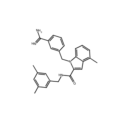 Cc1cc(C)cc(CNC(=O)c2cc3c(C)cccc3n2Cc2cccc(C(=N)N)c2)c1